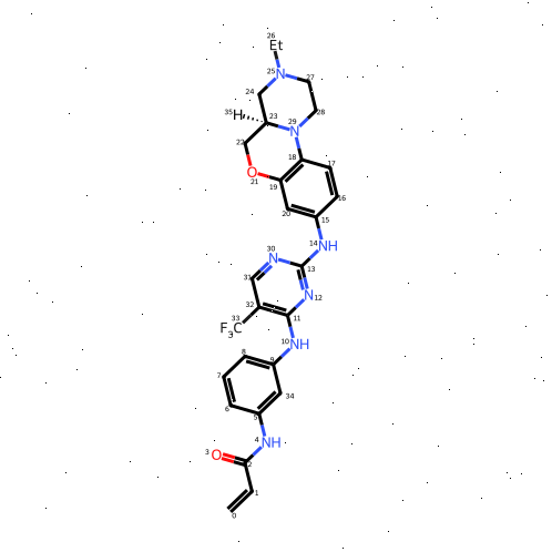 C=CC(=O)Nc1cccc(Nc2nc(Nc3ccc4c(c3)OC[C@H]3CN(CC)CCN43)ncc2C(F)(F)F)c1